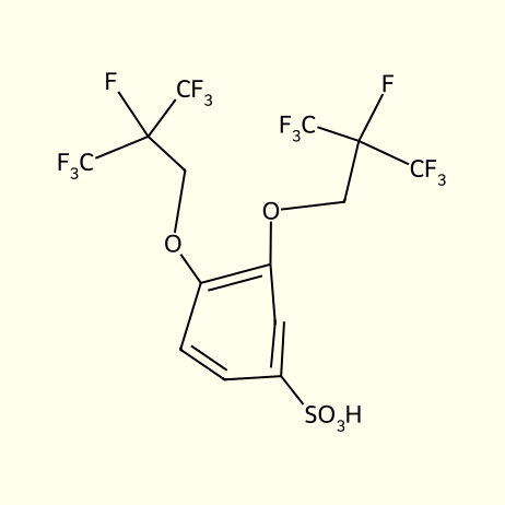 O=S(=O)(O)c1ccc(OCC(F)(C(F)(F)F)C(F)(F)F)c(OCC(F)(C(F)(F)F)C(F)(F)F)c1